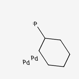 [P]C1CCCCC1.[Pd].[Pd]